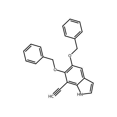 C#Cc1c(OCc2ccccc2)c(OCc2ccccc2)cc2cc[nH]c12